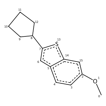 COc1ccc2cc(C3CCCC3)sc2c1